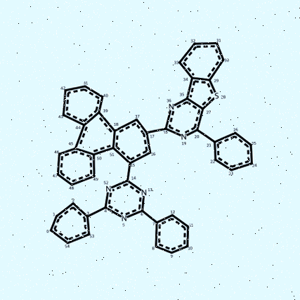 c1ccc(-c2nc(-c3ccccc3)nc(-c3cc(-c4nc(-c5ccccc5)c5sc6ccccc6c5n4)cc4c5ccccc5c5ccccc5c34)n2)cc1